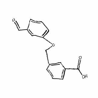 O=Cc1cccc(OCc2cccc(C(=O)O)c2)c1